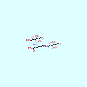 NCCCCC(NO)C(=O)O.O=C[C@H](O)[C@@H](O)[C@@H](O)[C@H](O)CO.O=C[C@H](O)[C@@H](O)[C@H](O)[C@H](O)CO